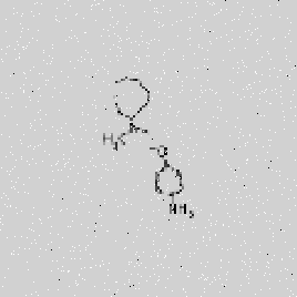 CN(CCOc1ccc(N)cc1)C1CCCCCCC1